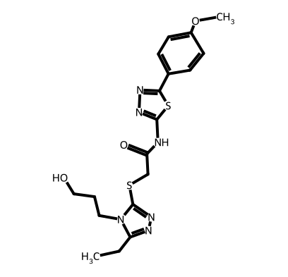 CCc1nnc(SCC(=O)Nc2nnc(-c3ccc(OC)cc3)s2)n1CCCO